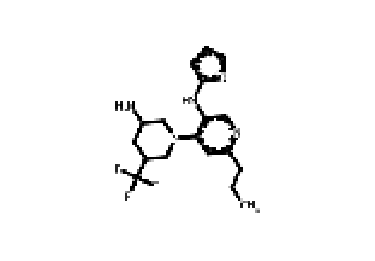 CCCc1cc(N2CC(N)CC(C(F)(F)F)C2)c(Nc2ccco2)cn1